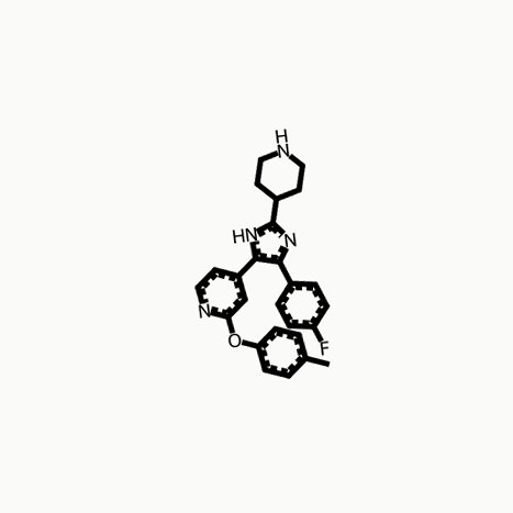 Cc1ccc(Oc2cc(-c3[nH]c(C4CCNCC4)nc3-c3ccc(F)cc3)ccn2)cc1